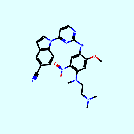 COc1cc(N(C)CCN(C)C)c([N+](=O)[O-])cc1Nc1nccc(-n2ccc3cc(C#N)ccc32)n1